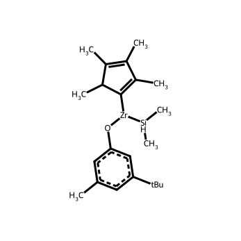 CC1=C(C)C(C)[C]([Zr]([O]c2cc(C)cc(C(C)(C)C)c2)[SiH](C)C)=C1C